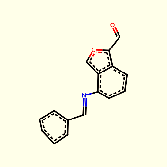 O=Cc1occ2c(N=Cc3ccccc3)cccc12